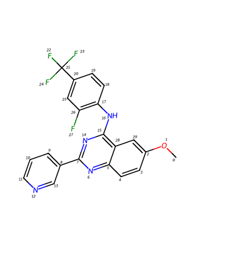 COc1ccc2nc(-c3cccnc3)nc(Nc3ccc(C(F)(F)F)cc3F)c2c1